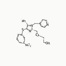 CC(C)c1c(Sc2cccc([N+](=O)[O-])c2)nc(COCCO)n1Cc1ccncc1